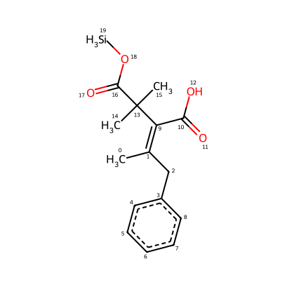 CC(Cc1ccccc1)=C(C(=O)O)C(C)(C)C(=O)O[SiH3]